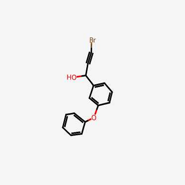 OC(C#CBr)c1cccc(Oc2ccccc2)c1